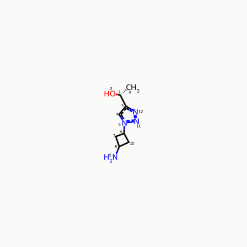 C[C@@H](O)c1cn(C2CC(N)C2)nn1